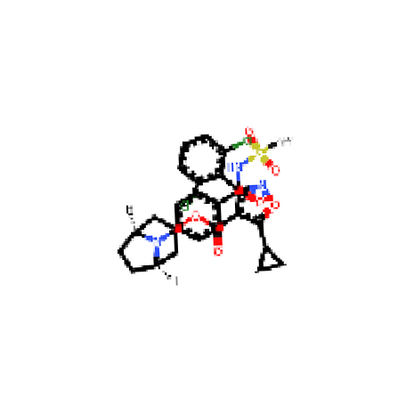 CCCS(=O)(=O)NC(=O)c1ccc(N2[C@@H]3CC[C@H]2C[C@@H](OC(=O)c2c(-c4c(Cl)cccc4Cl)noc2C2CC2)C3)cc1